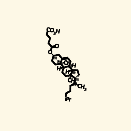 CC(C)CCC[C@@H](C)[C@H]1CC[C@H]2[C@@H]3CC=C4C[C@@H](OC(=O)CCCC(=O)O)CC[C@]4(C)[C@H]3CC[C@]12C